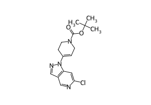 CC(C)(C)OC(=O)N1CC=C(n2ncc3cnc(Cl)cc32)CC1